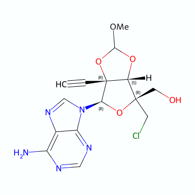 C#C[C@@]12OC(OC)O[C@@H]1[C@](CO)(CCl)O[C@H]2n1cnc2c(N)ncnc21